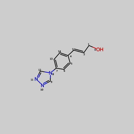 OCC=Cc1ccc(-n2cnnc2)cc1